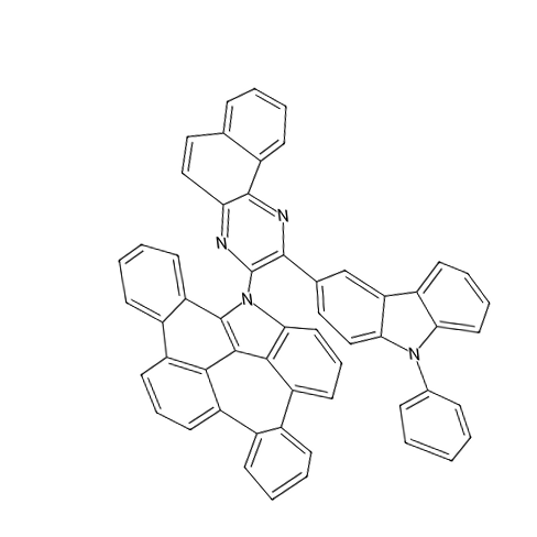 c1ccc(-n2c3ccccc3c3cc(-c4nc5c(ccc6ccccc65)nc4-n4c5cccc6c5c5c7c(cccc7c7ccccc7c54)-c4ccccc4-6)ccc32)cc1